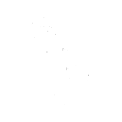 CC(C)(C)CC(=O)NC(CO)C(=O)NC[C@H]1NC(C)(C)C=C1O